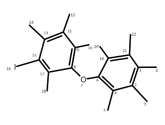 Cc1c(C)c(C)c(Oc2c(C)c(C)c(C)c(I)c2C)c(C)c1C